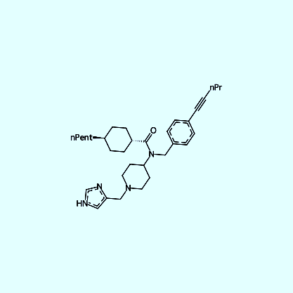 CCCC#Cc1ccc(CN(C(=O)[C@H]2CC[C@H](CCCCC)CC2)C2CCN(Cc3c[nH]cn3)CC2)cc1